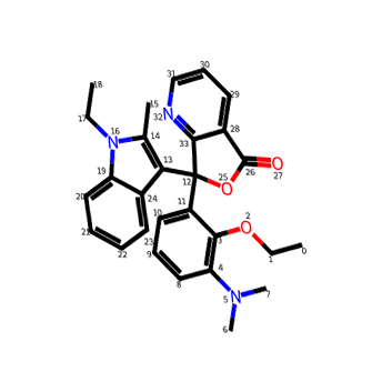 CCOc1c(N(C)C)cccc1C1(c2c(C)n(CC)c3ccccc23)OC(=O)c2cccnc21